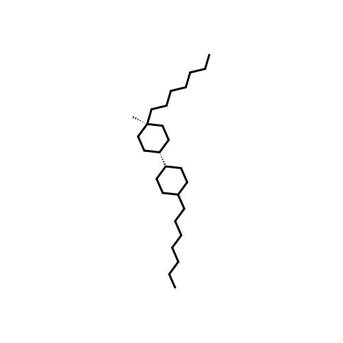 CCCCCCCC1CCC([C@H]2CC[C@](C)(CCCCCCC)CC2)CC1